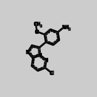 COc1cc(N)ccc1-c1cnc2ccc(Cl)nn12